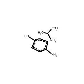 C[C@H](N)C(=O)O.Nc1ccc(O)cc1